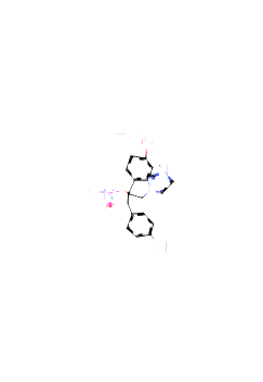 COc1ccc(C(Cc2ccc(Cl)cc2)(Cn2ccnc2)O[N+](=O)[O-])cc1